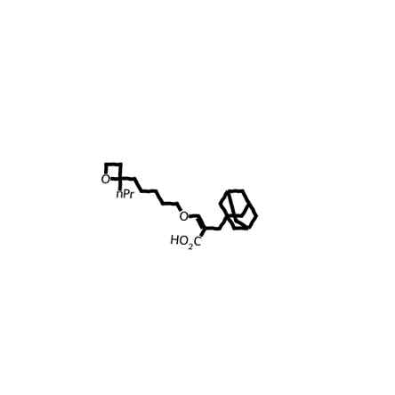 CCCC1(CCCCCOC=C(CC23CC4CC(CC(C4)C2)C3)C(=O)O)CCO1